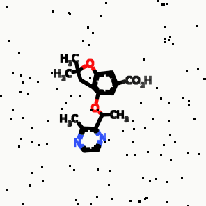 Cc1nccnc1C(C)Oc1cc(C(=O)O)cc2c1CC(C)(C)O2